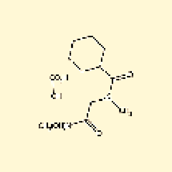 CN(O)C(=O)CN(C)C(=O)C1CCCCC1.O=C(O)O